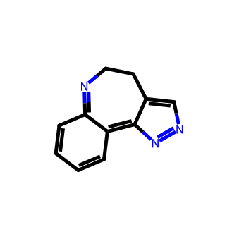 C1=C2CCN=c3ccccc3=C2N=N1